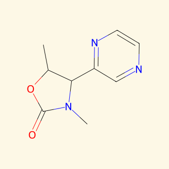 CC1OC(=O)N(C)C1c1cnccn1